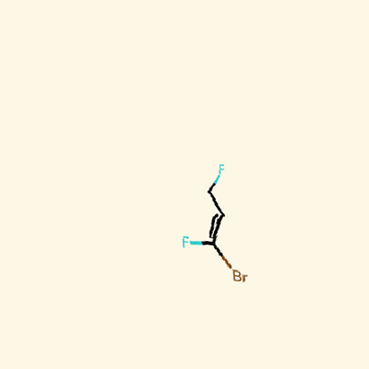 FC/C=C(\F)Br